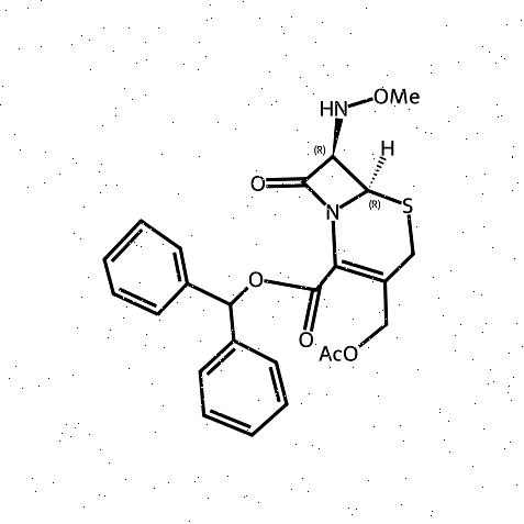 CON[C@@H]1C(=O)N2C(C(=O)OC(c3ccccc3)c3ccccc3)=C(COC(C)=O)CS[C@H]12